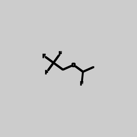 CC(F)OCC(F)(F)F